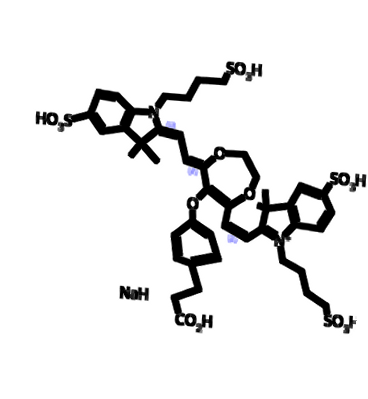 CC1(C)C(/C=C\C2=C(Oc3ccc(CCC(=O)O)cc3)C(=C/C=C3/N(CCCCS(=O)(=O)O)c4ccc(S(=O)(=O)O)cc4C3(C)C)/OCCO2)=[N+](CCCCS(=O)(=O)O)c2ccc(S(=O)(=O)O)cc21.[NaH]